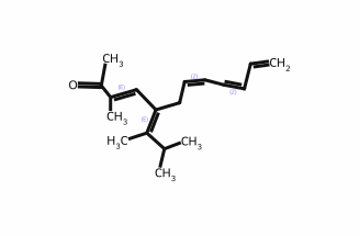 C=C/C=C\C=C/CC(/C=C(\C)C(C)=O)=C(/C)C(C)C